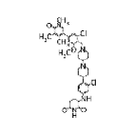 COc1cc(-c2cn(C)c(=O)c(C)c2C)cc(Cl)c1CN1CCC(N2CCC(c3ccc(NC4CCC(=O)NC4=O)cc3Cl)CC2)CC1